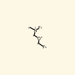 CN(F)COCF